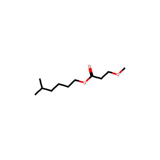 COCCC(=O)OCCCCC(C)C